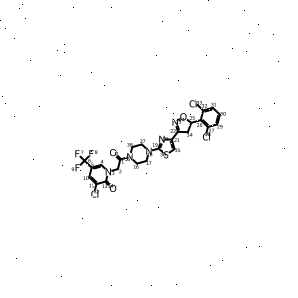 O=C(Cn1cc(C(F)(F)F)cc(Cl)c1=O)N1CCN(c2nc(C3=NOC(c4c(Cl)cccc4Cl)C3)cs2)CC1